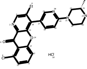 CCc1cnc2c(=O)c3c(Cl)cccc3oc2c1-c1ccc(N2CCN[C@@H](C)C2)nc1.Cl